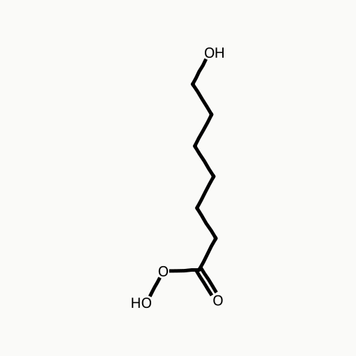 O=C(CCCCCCO)OO